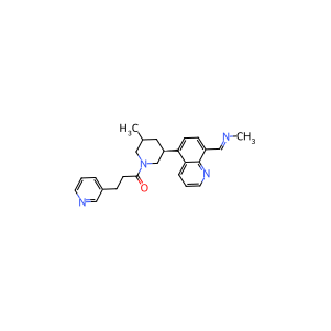 C/N=C/c1ccc([C@@H]2CC(C)CN(C(=O)CCc3cccnc3)C2)c2cccnc12